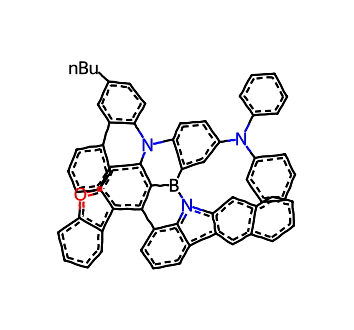 CCCCc1ccc(N2c3ccc(N(c4ccccc4)c4ccccc4)cc3B3c4c2cc2oc5ccccc5c2c4-c2cccc4c5cc6ccccc6cc5n3c24)c(-c2ccccc2)c1